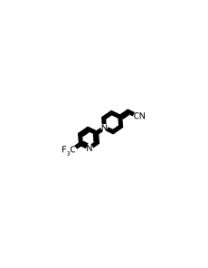 N#CC=C1CCN(c2ccc(C(F)(F)F)nc2)CC1